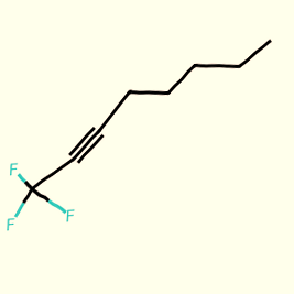 CCCCCC#CC(F)(F)F